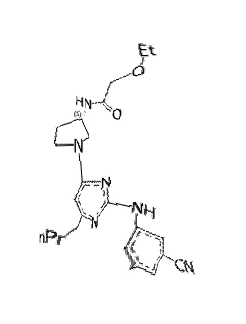 CCCc1cc(N2CC[C@H](NC(=O)COCC)C2)nc(Nc2cccc(C#N)c2)n1